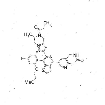 C=CC(=O)N1Cc2cc(-c3nc(-c4cnc5c(c4)CNC(=O)C5)c4ccsc4c3-c3c(F)cc(F)cc3OCCOC)nn2CC1C